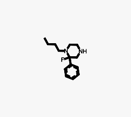 CCCCN1CCNCC1(F)c1ccccc1